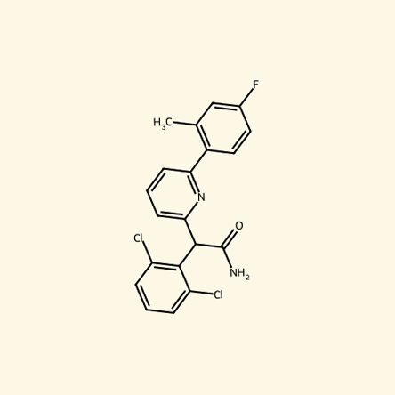 Cc1cc(F)ccc1-c1cccc(C(C(N)=O)c2c(Cl)cccc2Cl)n1